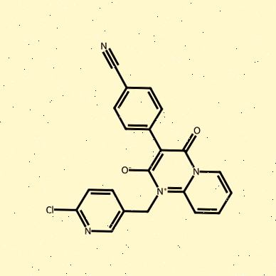 N#Cc1ccc(-c2c([O-])[n+](Cc3ccc(Cl)nc3)c3ccccn3c2=O)cc1